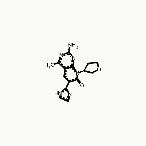 Cc1nc(N)nc2c1cc(-c1ncc[nH]1)c(=O)n2[C@H]1CCOC1